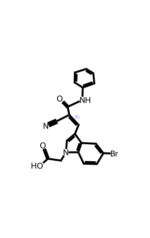 N#C/C(=C\c1cn(CC(=O)O)c2ccc(Br)cc12)C(=O)Nc1ccccc1